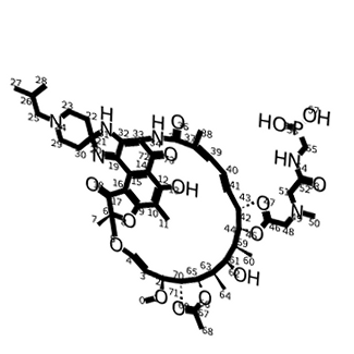 CO[C@H]1/C=C/O[C@@]2(C)Oc3c(C)c(O)c4c(c3C2=O)C2=NC3(CCN(CC(C)C)CC3)NC2=C(NC(=O)/C(C)=C\C=C\[C@H](C)[C@H](OC(=O)CN(C)CC(=O)NCP(O)O)[C@@H](C)[C@@H](O)[C@@H](C)[C@H](OC(C)=O)[C@@H]1C)C4=O